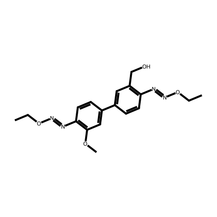 CCON=Nc1ccc(-c2ccc(N=NOCC)c(OC)c2)cc1CO